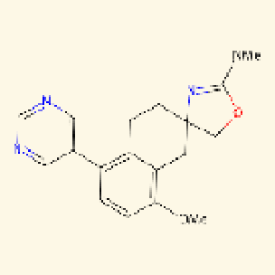 CNC1=NC2(CCc3c(-c4cncnc4)ccc(OC)c3C2)CO1